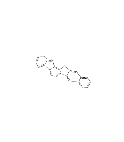 C1=CCC2=Nc3c(ccc4c3oc3cc5ccccc5cc34)C2=C1